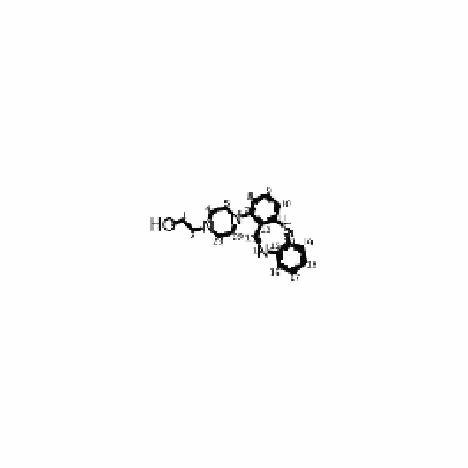 OCCN1CCN(c2cccc3c2C=Nc2ccccc2S3)CC1